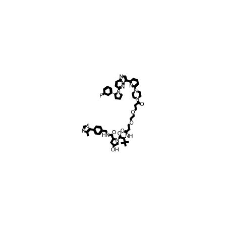 Cc1ncsc1-c1ccc(CNC(=O)C2CC(O)CN2C(=O)[C@@H](NC(=O)CCOCCOCCC(=O)N2CCN(c3cccc(-c4cnc5ccc(N6CCC[C@@H]6C6=CC=CC(F)C6)nn45)n3)CC2)C(C)(C)C)cc1